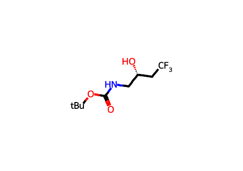 CC(C)(C)OC(=O)NC[C@H](O)CC(F)(F)F